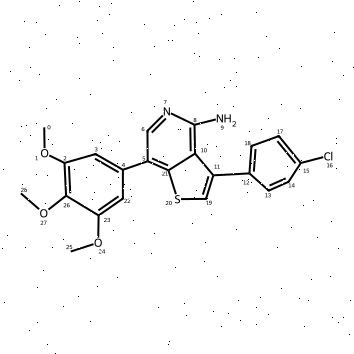 COc1cc(-c2cnc(N)c3c(-c4ccc(Cl)cc4)csc23)cc(OC)c1OC